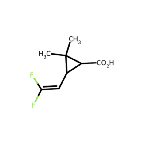 CC1(C)C(C=C(F)F)C1C(=O)O